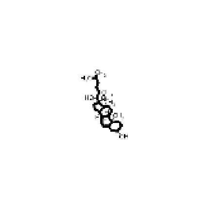 CN[C@]1([C@H](O)CCCC(C)C)CC[C@H]2[C@@H]3CC=C4C[C@@H](O)CC[C@]4(C)[C@H]3CC[C@@]21C